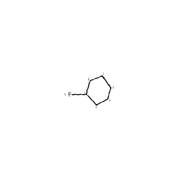 FC1[CH]CCCC1